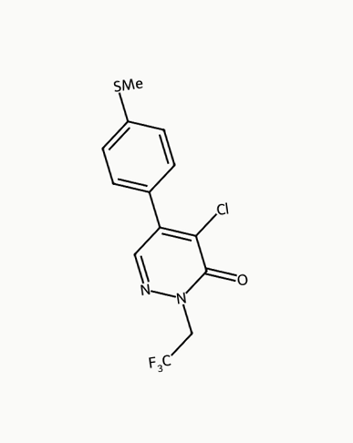 CSc1ccc(-c2cnn(CC(F)(F)F)c(=O)c2Cl)cc1